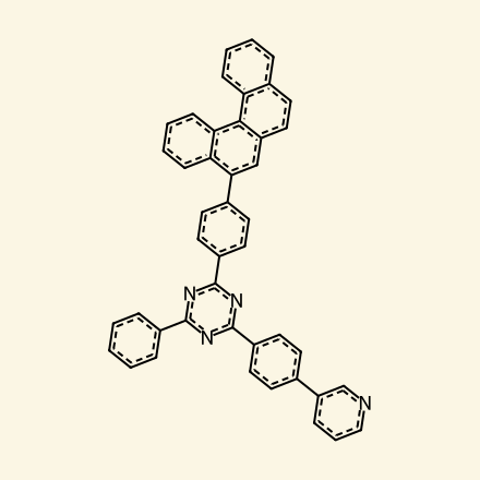 c1ccc(-c2nc(-c3ccc(-c4cccnc4)cc3)nc(-c3ccc(-c4cc5ccc6ccccc6c5c5ccccc45)cc3)n2)cc1